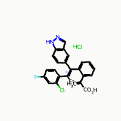 C=C(C(=O)O)c1ccccc1/C(=C(\CC)c1ccc(F)cc1Cl)c1ccc2[nH]ncc2c1.Cl